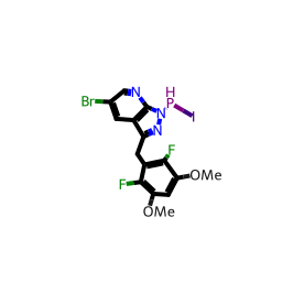 COc1cc(OC)c(F)c(Cc2nn(PI)c3ncc(Br)cc23)c1F